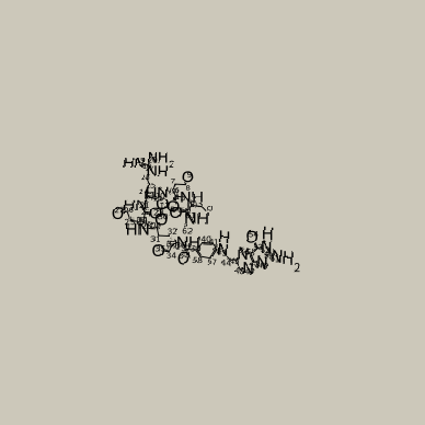 CC[C@H](NC(=O)[C@H](CC=O)NC(=O)[C@H](CCCNC(=N)N)NC(=O)[C@H](CC=O)NC(=O)CC[C@@H](C=O)NC(=O)c1ccc(NCc2cnc3nc(N)[nH]c(=O)c3n2)cc1)C(=O)NC